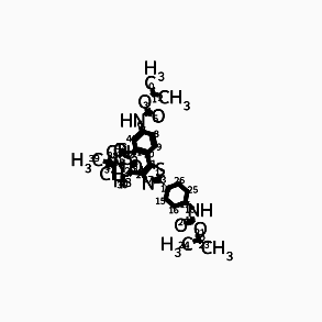 CC(C)OC(=O)Nc1ccc(-c2sc([C@H]3CC[C@H](NC(=O)OC(C)C)CC3)nc2CF)c(S(=O)(=O)NC(C)(C)C)c1